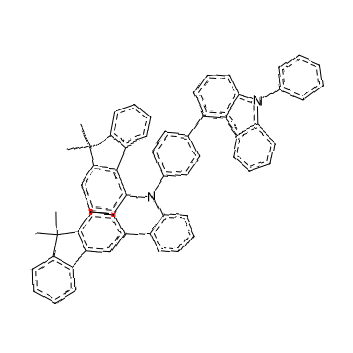 CC1(C)c2ccccc2-c2cc(-c3ccccc3N(c3ccc(-c4cccc5c4c4ccccc4n5-c4ccccc4)cc3)c3cccc4c3-c3ccccc3C4(C)C)ccc21